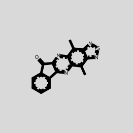 Cc1c2nsnc2c(C)c2nc3c(nc12)C(=O)c1ccccc1-3